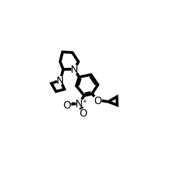 O=[N+]([O-])c1cc(N2CCCCC2N2CCC2)ccc1OC1CC1